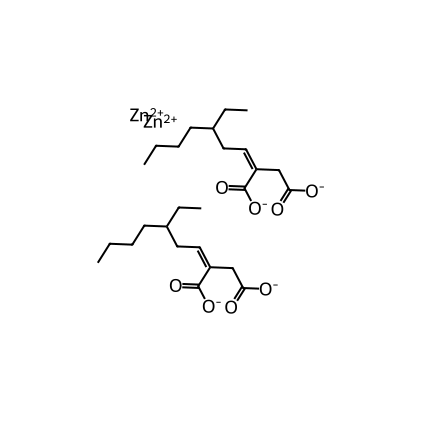 CCCCC(CC)CC=C(CC(=O)[O-])C(=O)[O-].CCCCC(CC)CC=C(CC(=O)[O-])C(=O)[O-].[Zn+2].[Zn+2]